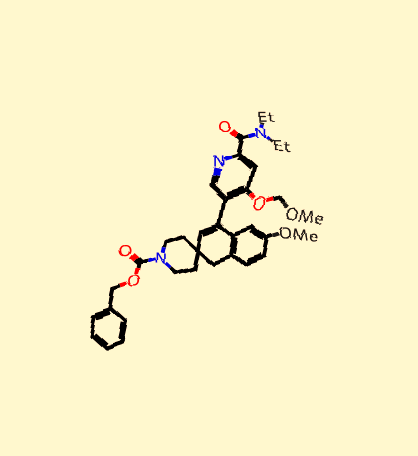 CCN(CC)C(=O)c1cc(OCOC)c(C2=CC3(CCN(C(=O)OCc4ccccc4)CC3)Cc3ccc(OC)cc32)cn1